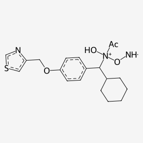 CC(=O)[N+](O)(O[NH])C(c1ccc(OCc2cscn2)cc1)C1CCCCC1